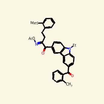 CCn1c2ccc(C(=O)/C(CCc3ccccc3SC)=N/OC(C)=O)cc2c2cc(C(=O)c3ccccc3C)ccc21